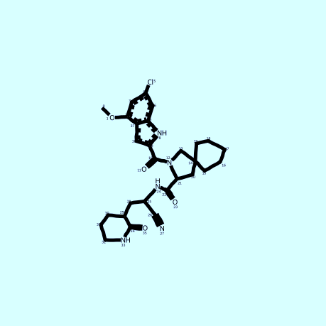 COc1cc(Cl)cc2[nH]c(C(=O)N3CC4(CCCCC4)CC3C(=O)NC(C#N)CC3CCCNC3=O)cc12